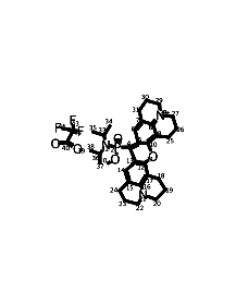 COP(=O)(C1=c2cc3c4c(c2Oc2c1cc1c5c2CCCN5CCC1)CCC[N+]=4CCC3)N(C(C)C)C(C)C.O=C([O-])C(F)(F)F